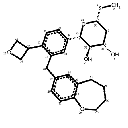 CS[C@@H]1C[C@H](O)[C@@H](O)[C@H](c2ccc(C3COC3)c(Cc3ccc4c(c3)CCCCO4)c2)O1